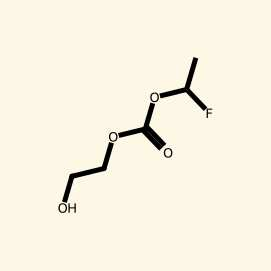 CC(F)OC(=O)OCCO